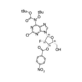 CC(C)(C)OC(=O)N(OC(C)(C)C)c1nc(Cl)nc2c1ncn2[C@@H]1O[C@H](CO)[C@H](OC(=O)c2ccc([N+](=O)[O-])cc2)[C@@H]1F